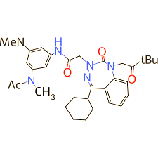 CNc1cc(NC(=O)CN2N=C(C3CCCCC3)c3ccccc3N(CC(=O)C(C)(C)C)C2=O)cc(N(C)C(C)=O)c1